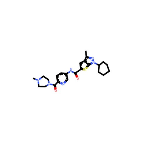 Cc1nn(C2CCCCC2)c2sc(C(=O)Nc3ccc(C(=O)N4CCN(C)CC4)nc3)cc12